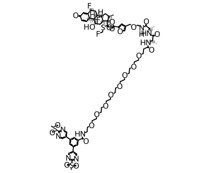 C[C@H](NC(=O)CCOCCOCCOCCOCCOCCOCCOCCOCCNC(=O)c1cc(-c2cnc(S(C)(=O)=O)nc2)cc(-c2cnc(S(C)(=O)=O)nc2)c1)C(=O)N[C@@H](C)C(=O)NCOCc1coc(C(=O)O[C@]2(C(=O)SCF)[C@H](C)C[C@H]3[C@@H]4C[C@H](F)C5=CC(=O)C=C[C@]5(C)[C@@]4(F)[C@@H](O)C[C@@]32C)c1